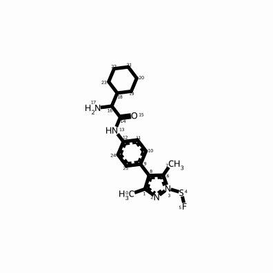 Cc1nn(SF)c(C)c1-c1ccc(NC(=O)C(N)C2CCCCC2)cc1